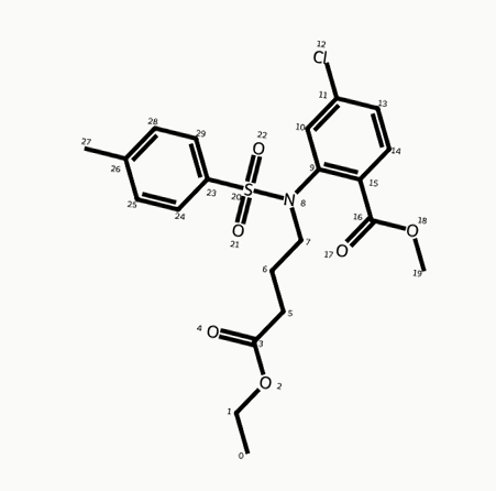 CCOC(=O)CCCN(c1cc(Cl)ccc1C(=O)OC)S(=O)(=O)c1ccc(C)cc1